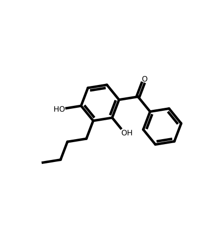 CCCCc1c(O)ccc(C(=O)c2ccccc2)c1O